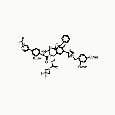 COc1ccc(Cn2cnc(-c3cc([C@@H](COC(=O)N4CC(F)(F)C4)N4C(=O)[C@@](CC(C)(C)C)(c5ccc(-c6cnn(C(F)F)c6)cc5)N/C4=N/C(=O)OCc4ccccc4)ccc3Cl)n2)c(OC)c1